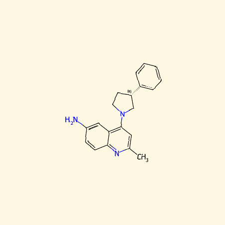 Cc1cc(N2CC[C@H](c3ccccc3)C2)c2cc(N)ccc2n1